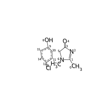 CC1=NC(=O)CN1C.Oc1ccc(Cl)cc1